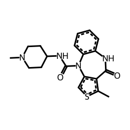 Cc1scc2c1C(=O)Nc1ccccc1N2C(=O)NC1CCN(C)CC1